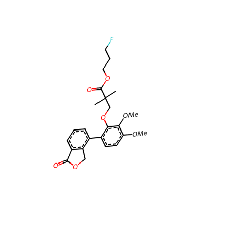 COc1ccc(-c2cccc3c2COC3=O)c(OCC(C)(C)C(=O)OCCCF)c1OC